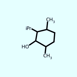 CC(C)C1C(C)CCC(C)C1O